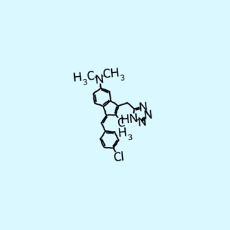 CC1=C(Cc2nnn[nH]2)c2cc(N(C)C)ccc2C1=Cc1ccc(Cl)cc1